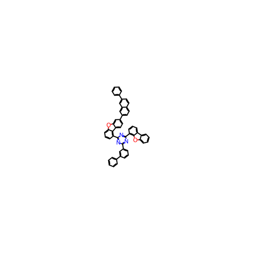 c1ccc(-c2cccc(-c3nc(-c4cccc5c4oc4ccccc45)nc(-c4cccc5oc6cc(-c7ccc8ccc(-c9ccccc9)cc8c7)ccc6c45)n3)c2)cc1